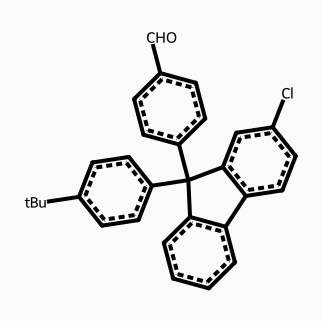 CC(C)(C)c1ccc(C2(c3ccc(C=O)cc3)c3ccccc3-c3ccc(Cl)cc32)cc1